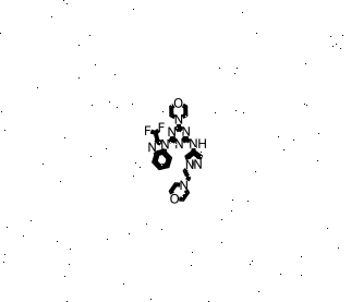 FC(F)c1nc2ccccc2n1-c1nc(Nc2cnn(CCN3CCOCC3)c2)nc(N2CCOCC2)n1